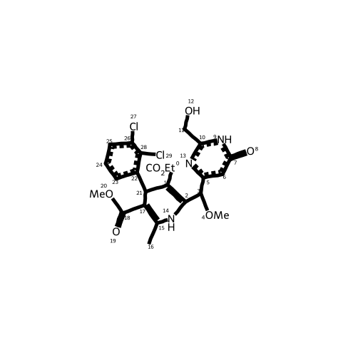 CCOC(=O)C1=C(C(OC)c2cc(=O)[nH]c(CO)n2)NC(C)=C(C(=O)OC)C1c1cccc(Cl)c1Cl